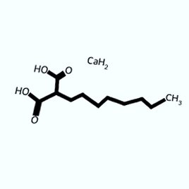 CCCCCCCCC(C(=O)O)C(=O)O.[CaH2]